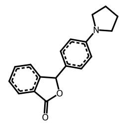 O=C1OC(c2ccc(N3CCCC3)cc2)c2ccccc21